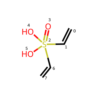 C=CS(=O)(O)(O)C=C